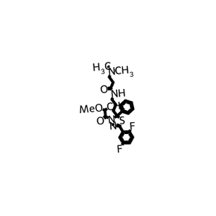 COC(C)C(=O)N1N=C(c2cc(F)ccc2F)SC1(CCCNC(=O)CCN(C)C)c1ccccc1